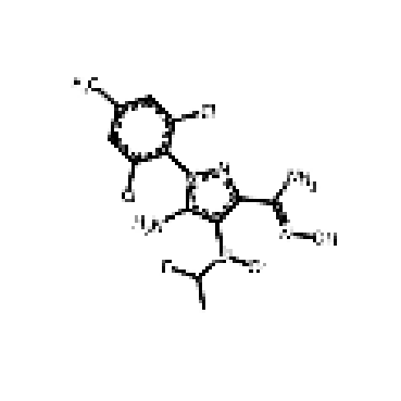 CC(F)[S+]([O-])c1c(C(N)=NO)nn(-c2c(Cl)cc(C(F)(F)F)cc2Cl)c1N